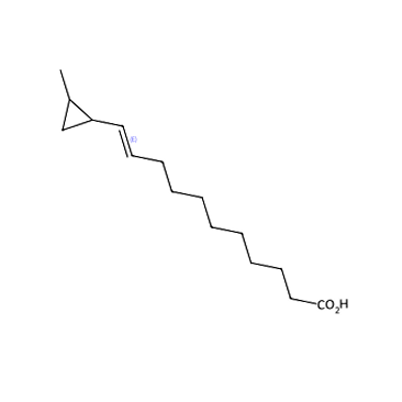 CC1CC1/C=C/CCCCCCCCC(=O)O